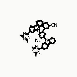 Cc1nc(C)nc(-c2ccc3c4ccccc4n(-c4cc(-c5cccc(C#N)c5)c(-n5c6ccccc6c6ccc(-c7nc(C)nc(C)n7)cc65)cc4C#N)c3c2)n1